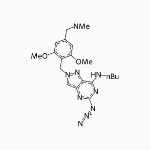 CCCCNc1nc(N=[N+]=[N-])nc2cn(Cc3c(OC)cc(CNC)cc3OC)nc12